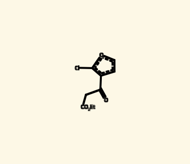 CCOC(=O)CC(=O)c1ccoc1Cl